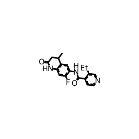 CCc1cnccc1C(=O)Nc1cc2c(cc1F)NC(=O)CC2C